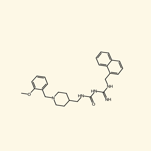 COc1ccccc1CN1CCC(CNC(=O)NC(=N)NCc2cccc3ccccc23)CC1